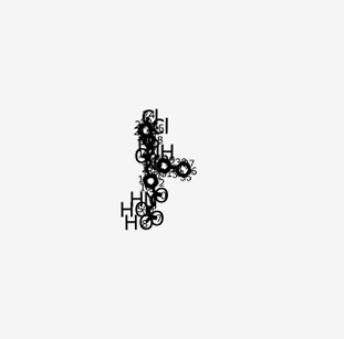 O=C(NC[C@@H](O)C(=O)O)c1ccc(CN(C(=O)Nc2nc3ccc(Cl)c(Cl)c3s2)c2ccc(C3CCCCC3)cc2)cc1